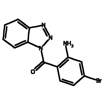 Nc1cc(Br)ccc1C(=O)n1nnc2ccccc21